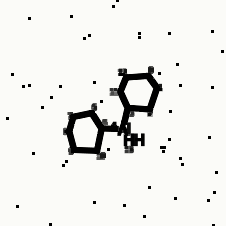 C1CC[CH]([Al][CH]2CCCCC2)CC1.[HH]